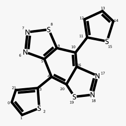 c1csc(-c2c3nnsc3c(-c3cccs3)c3nnsc23)c1